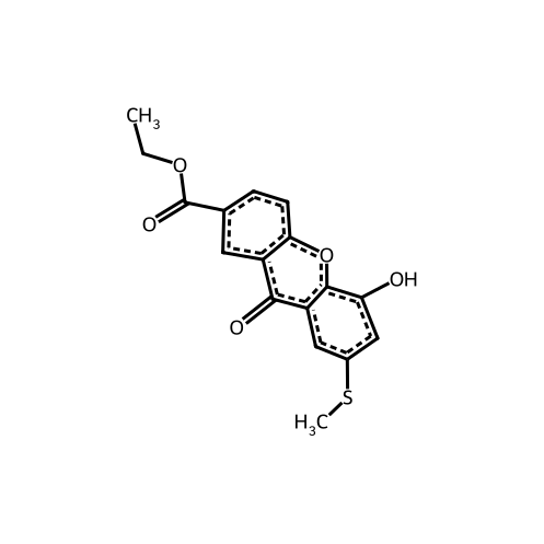 CCOC(=O)c1ccc2oc3c(O)cc(SC)cc3c(=O)c2c1